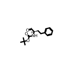 CC(C)(C)OC(=O)N[C@@H]([C]=O)CCc1ccccc1